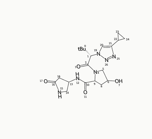 CC(C)(C)[C@@H](C(=O)N1CC(O)CC1C(=O)NC1CNC(=O)C1)n1cc(C2CC2)nn1